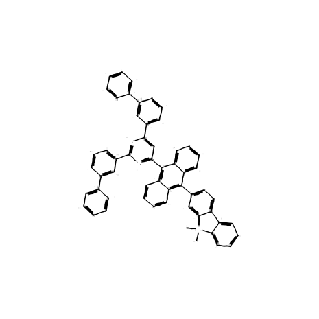 C[Si]1(C)c2ccccc2-c2ccc(-c3c4ccccc4c(-c4cc(-c5cccc(-c6ccccc6)c5)nc(-c5cccc(-c6ccccc6)c5)n4)c4ccccc34)cc21